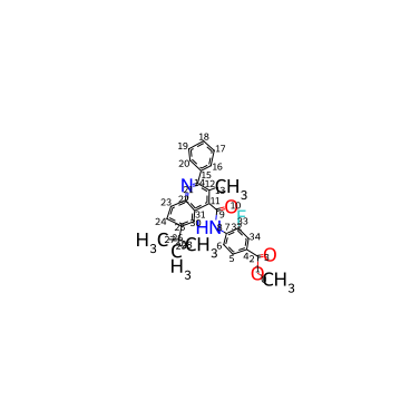 COC(=O)c1ccc(NC(=O)c2c(C)c(-c3ccccc3)nc3ccc(C(C)(C)C)cc23)c(F)c1